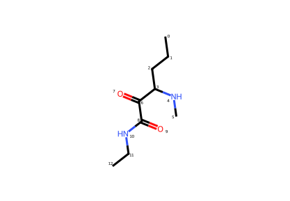 CCCC(NC)C(=O)C(=O)NCC